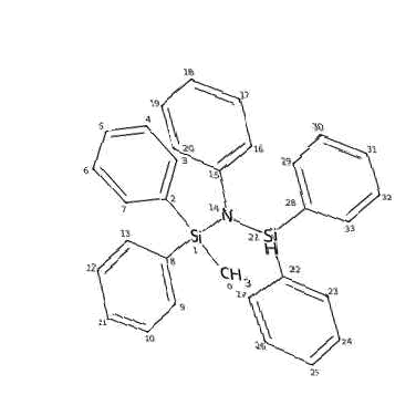 C[Si](c1ccccc1)(c1ccccc1)N(c1ccccc1)[SiH](c1ccccc1)c1ccccc1